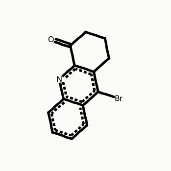 O=C1CCCc2c1nc1ccccc1c2Br